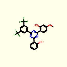 COc1ccc(-c2nc(-c3cc(C(F)(F)F)cc(C(F)(F)F)c3)nc(-c3ccccc3O)n2)c(O)c1